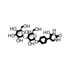 O=C1NCC(c2ccc(O[C@H]3O[C@H](CO)[C@@H](O)[C@@H](C[C@H]4O[C@H](CO)[C@@H](O)[C@H](O)[C@H]4O)[C@@H]3O)cc2)=C(O)N1